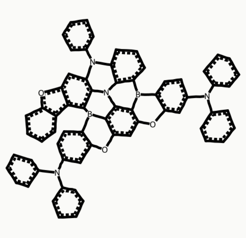 c1ccc(N(c2ccccc2)c2ccc3c(c2)Oc2cc4c5c6c2B3c2cccc3c2N6c2c(cc6oc7ccccc7c6c2B5c2ccc(N(c5ccccc5)c5ccccc5)cc2O4)N3c2ccccc2)cc1